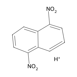 O=[N+]([O-])c1cccc2c([N+](=O)[O-])cccc12.[H+]